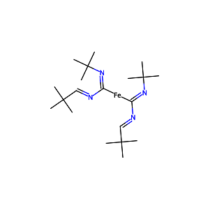 CC(C)(C)C=N[C](=NC(C)(C)C)[Fe][C](N=CC(C)(C)C)=NC(C)(C)C